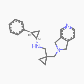 c1ccc([C@H]2C[C@@H]2NCC2(CN3Cc4ccncc4C3)CC2)cc1